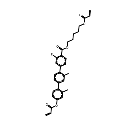 C=CC(=O)OCCCCCOC(=O)c1ccc(-c2ccc(-c3ccc(OC(=O)C=C)cc3C)cc2F)cc1F